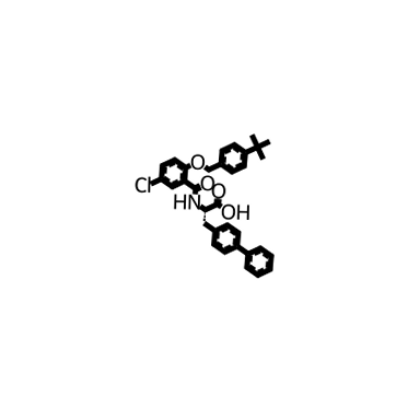 CC(C)(C)c1ccc(COc2ccc(Cl)cc2C(=O)N[C@@H](Cc2ccc(-c3ccccc3)cc2)C(=O)O)cc1